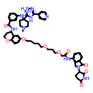 CN1CCC(Nc2cccc(C(=O)N[C@H]3CCOc4ccc(OCCCCCOCCCOCC(=O)Nc5cccc6c5CN(C5CCC(=O)NC5=O)C6=O)cc43)c2)(C(=N)N/C(=N\N)c2ccncc2)CC1